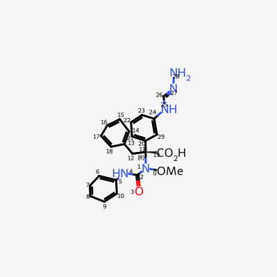 CON(C(=O)Nc1ccccc1)[C@@](Cc1ccccc1)(C(=O)O)c1cccc(NC=NN)c1